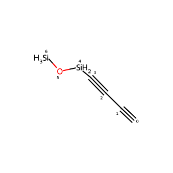 C#CC#C[SiH2]O[SiH3]